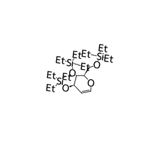 CC[Si](CC)(CC)OC[C@H]1OC=C[C@@H](O[Si](CC)(CC)CC)[C@@H]1O[Si](CC)(CC)CC